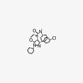 CN1C(=O)[C@@]2(C=COc3c2c(-c2ccc(Cl)cc2)nn3-c2ccccc2)c2ccccc21